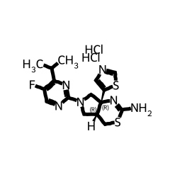 CC(C)c1nc(N2C[C@H]3CSC(N)=N[C@@]3(c3cncs3)C2)ncc1F.Cl.Cl